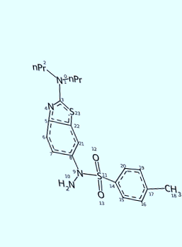 CCCN(CCC)c1nc2ccc(N(N)S(=O)(=O)c3ccc(C)cc3)cc2s1